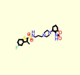 Cc1c(S(=O)(=O)NCCCN2CCN(c3cccc4oc(=O)[nH]c34)CC2)sc2ccc(F)cc12